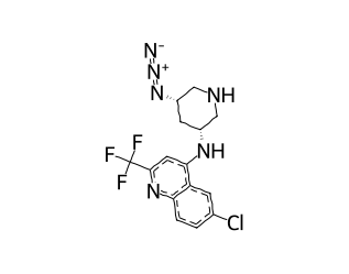 [N-]=[N+]=N[C@@H]1CNC[C@H](Nc2cc(C(F)(F)F)nc3ccc(Cl)cc23)C1